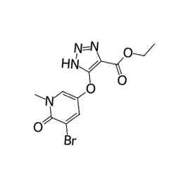 CCOC(=O)c1nn[nH]c1Oc1cc(Br)c(=O)n(C)c1